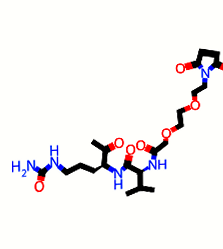 CC(=O)[C@H](CCCNC(N)=O)NC(=O)[C@@H](NC(=O)COCCOCCN1C(=O)C=CC1=O)C(C)C